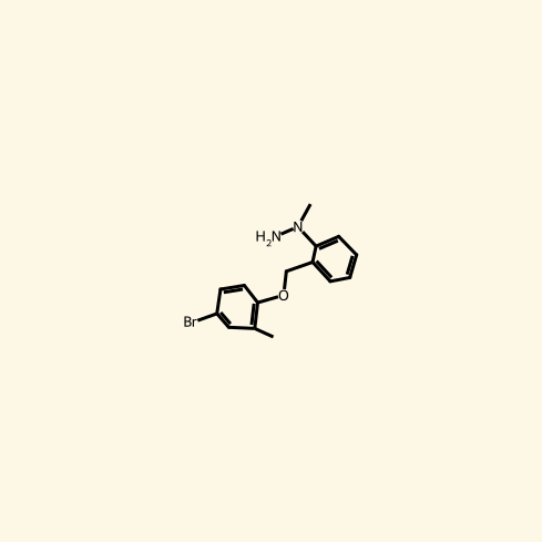 Cc1cc(Br)ccc1OCc1ccccc1N(C)N